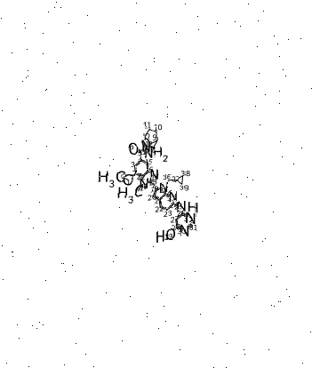 COc1cc(C(=O)N2CC3CCC2C3N)cc2nc(-c3cc4ccc(Nc5cc(O)ncn5)nc4n3CC3CC3)n(C)c12